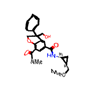 CNC(=O)c1cc(C(=O)N[C@@H]2C[C@H]2COC)cc2c1OCC2(CO)c1ccccc1